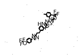 Cc1ccc(C2CC2(F)F)c(N2C(=O)CS/C2=N\C(=O)Nc2ccc(CCc3ncn(-c4ccc(OC(F)(F)F)cc4)n3)cc2F)c1